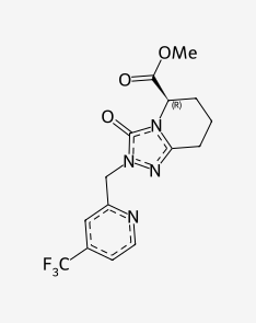 COC(=O)[C@H]1CCCc2nn(Cc3cc(C(F)(F)F)ccn3)c(=O)n21